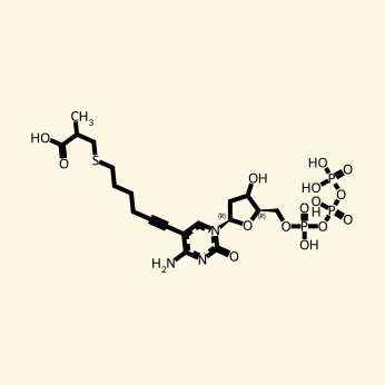 CC(CSCCCCC#Cc1cn([C@H]2CC(O)[C@@H](COP(=O)(O)OP(=O)(O)OP(=O)(O)O)O2)c(=O)nc1N)C(=O)O